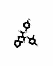 CC(=O)c1ccc(NC(=O)c2cc3ccccc3nc2Oc2ccc(F)cc2C)cc1